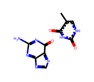 Cc1c[nH]c(=O)[nH]c1=O.NC1=NC(=O)C2=NC=NC2=N1